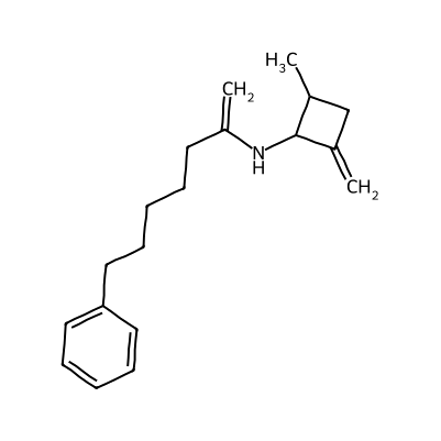 C=C(CCCCCc1ccccc1)NC1C(=C)CC1C